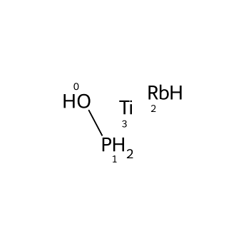 OP.[RbH].[Ti]